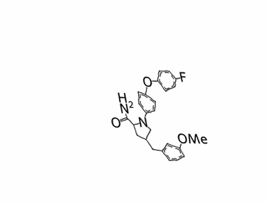 COc1cccc(CC2CC(C(N)=O)N(c3ccc(Oc4ccc(F)cc4)cc3)C2)c1